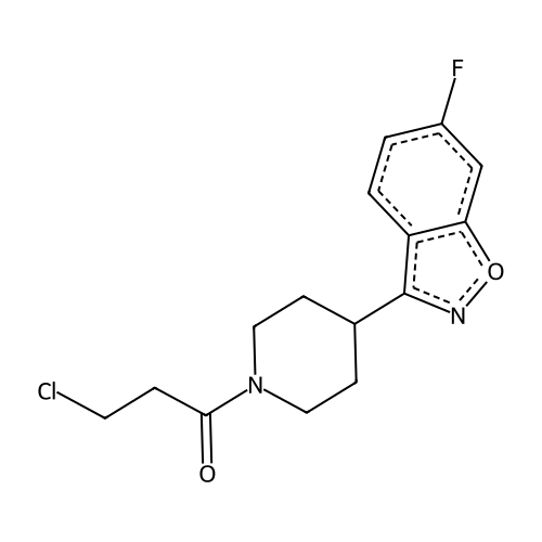 O=C(CCCl)N1CCC(c2noc3cc(F)ccc23)CC1